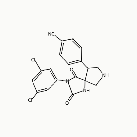 N#Cc1ccc(C2CNCC23NC(=O)N(c2cc(Cl)cc(Cl)c2)C3=O)cc1